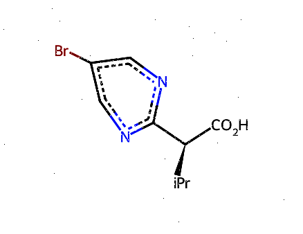 CC(C)[C@H](C(=O)O)c1ncc(Br)cn1